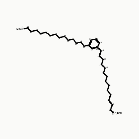 CCCCCCCCCCCCCCCCCCCCCCCCc1[c]c(CCCCCCCCCCCCCCCCCCCCCCCC)ccc1